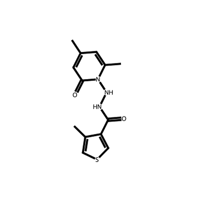 Cc1cc(C)n(NNC(=O)c2cscc2C)c(=O)c1